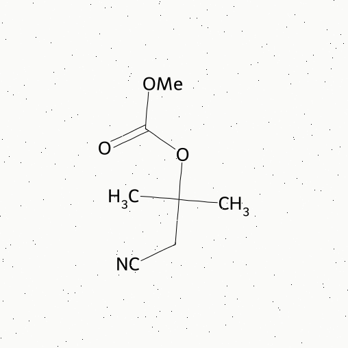 COC(=O)OC(C)(C)CC#N